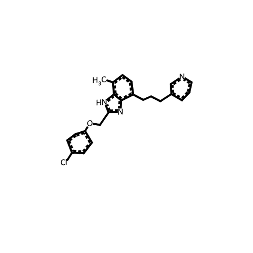 Cc1ccc(CCCc2cccnc2)c2nc(COc3ccc(Cl)cc3)[nH]c12